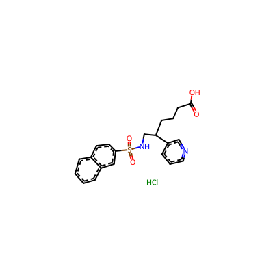 Cl.O=C(O)CCCC(CNS(=O)(=O)c1ccc2ccccc2c1)c1cccnc1